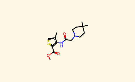 COC(=O)c1scc(C)c1NC(=O)CN1CCC(C)(C)CC1